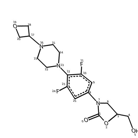 O=C1OC(CO)CN1c1cc(F)c(N2CCN(C3COC3)CC2)c(F)c1